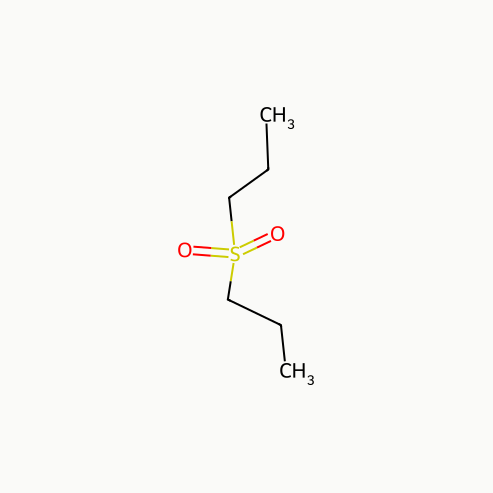 CCCS(=O)(=O)CCC